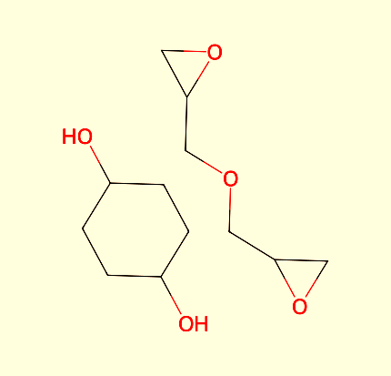 C(OCC1CO1)C1CO1.OC1CCC(O)CC1